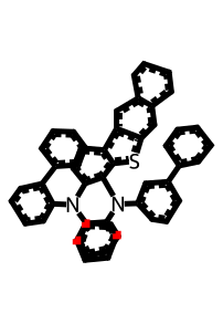 c1ccc(-c2cccc(N(c3ccccc3)c3c(N(c4ccccc4)c4ccccc4-c4ccccc4)ccc4c3sc3cc5ccccc5cc34)c2)cc1